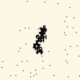 O=C(NCc1ccnc(OC(F)F)c1)NC1CC2(C1)CC2(F)F